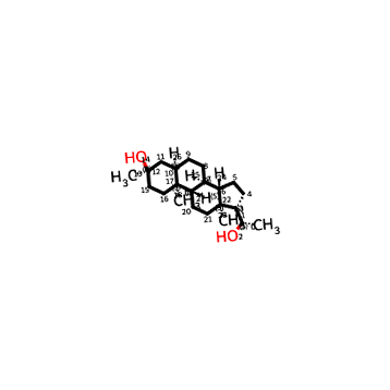 C[C@H](O)[C@H]1CC[C@H]2[C@@H]3CC[C@@H]4C[C@](C)(O)CC[C@]4(C)[C@H]3CC[C@]12C